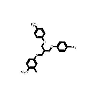 COc1ccc(SCC(COc2ccc(C(F)(F)F)cc2)COc2ccc(C(F)(F)F)cc2)cc1C